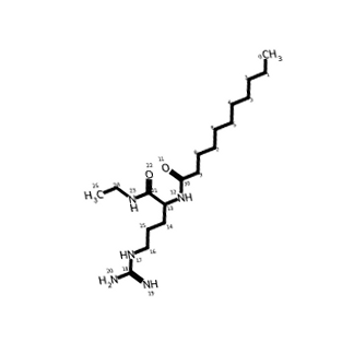 CCCCCCCCCCC(=O)NC(CCCNC(=N)N)C(=O)NCC